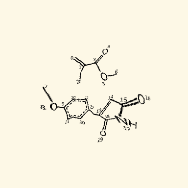 C=C(C)C(=O)OC.COc1ccc(C2=CC(=O)NC2=O)cc1